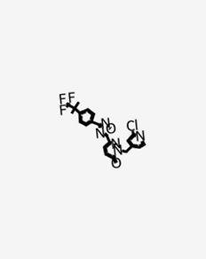 CC(C)(c1ccc(-c2noc(-c3ccc(=O)n(Cc4ccnc(Cl)c4)n3)n2)cc1)C(F)(F)F